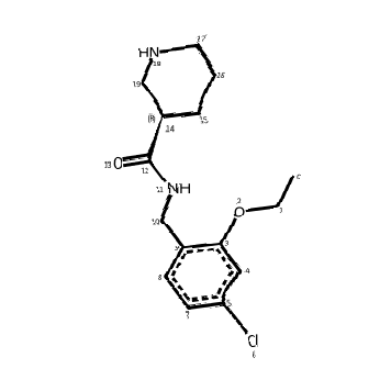 CCOc1cc(Cl)ccc1CNC(=O)[C@@H]1CCCNC1